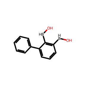 OBc1cccc(-c2ccccc2)c1BO